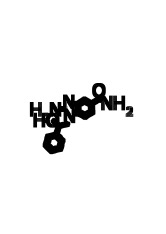 NC(=O)c1ccc2c(c1)nc(N)n2CC(O)c1ccccc1